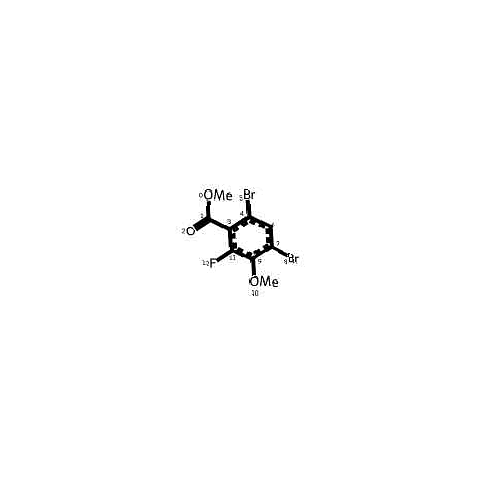 COC(=O)c1c(Br)cc(Br)c(OC)c1F